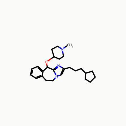 CN1CCC(OC2c3ccccc3CCn3cc(CCCC4CCCC4)nc32)CC1